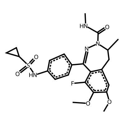 CNC(=O)N1N=C(c2ccc(NS(=O)(=O)C3CC3)cc2)c2c(cc(OC)c(OC)c2F)CC1C